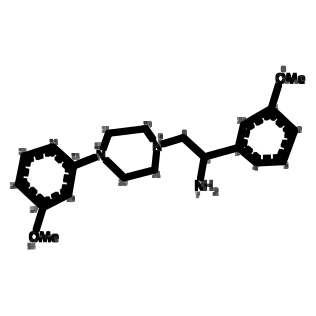 COc1cccc(C(N)CN2CCN(c3cccc(OC)c3)CC2)c1